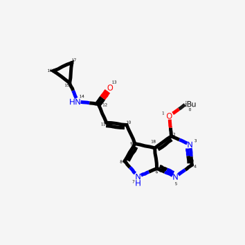 CCC(C)Oc1ncnc2[nH]cc(C=CC(=O)NC3CC3)c12